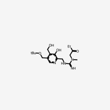 CCC(=O)CN(C)C(=N)NCc1ncc(COC(C)(C)C)c(CO)c1O